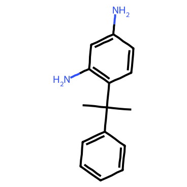 CC(C)(c1ccccc1)c1ccc(N)cc1N